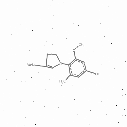 CNC1=CN(c2c(C)cc(O)cc2OC(F)(F)F)CC1